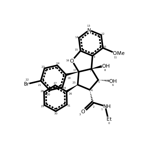 CCNC(=O)[C@H]1[C@@H](O)[C@@]2(O)c3c(OC)cncc3O[C@@]2(c2ccc(Br)cc2)[C@@H]1c1ccccc1